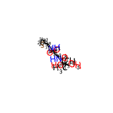 CC(C)(CO)[C@@H](O)C(=O)NCCC(=O)C(=O)NCCc1cccs1